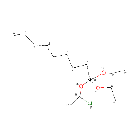 CCCCCCCC[Si](OCC)(OCC)OC(C)Cl